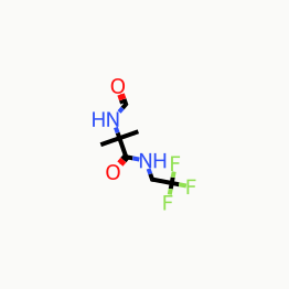 CC(C)(NC=O)C(=O)NCC(F)(F)F